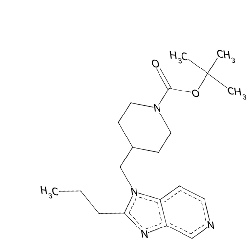 CCCc1nc2cnccc2n1CC1CCN(C(=O)OC(C)(C)C)CC1